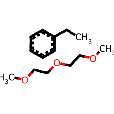 CCc1ccccc1.COCCOCCOC